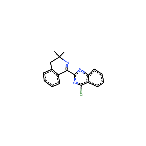 CC1(C)Cc2ccccc2C(c2nc(Cl)c3ccccc3n2)=N1